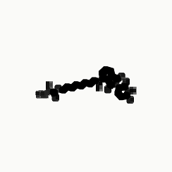 CC(C)(C)NC(=O)OCCCCCCCCNc1cccc2c1C(=O)N(C1CCC(=O)NC1=O)C2=O